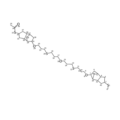 CSC1CC2C3CC(OCCCSCCCOCCCSCCCOC4CC5CC4C4CC(SC(C)=O)CC54)C(C3)C2C1